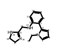 CCn1cccc1-c1ccccc1NCC1=NCCN1